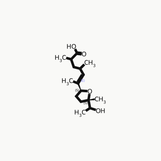 C/C(=C\C(C)CC(C)C(=O)O)[C@@H]1CC[C@@](C)(C(C)O)O1